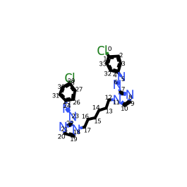 Clc1ccc(/N=N/c2nccn2CCCCCCn2ccnc2/N=N/c2ccc(Cl)cc2)cc1